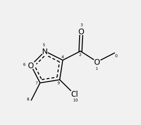 COC(=O)c1noc(C)c1Cl